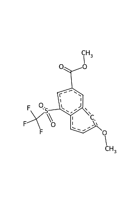 COC(=O)c1cc(S(=O)(=O)C(F)(F)F)c2ccc(OC)cc2c1